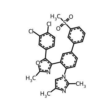 Cc1cn(-c2ccc(-c3cccc(S(C)(=O)=O)c3)cc2-c2nc(C)oc2-c2ccc(Cl)c(Cl)c2)c(C)n1